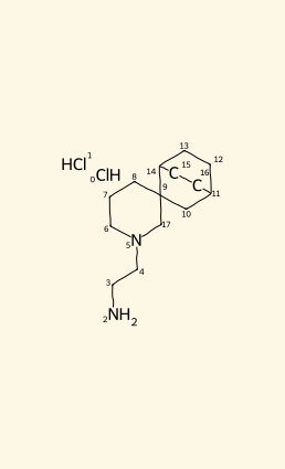 Cl.Cl.NCCN1CCCC2(CC3CCC2CC3)C1